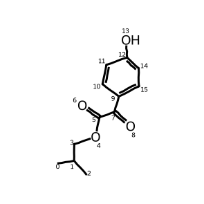 CC(C)COC(=O)C(=O)c1ccc(O)cc1